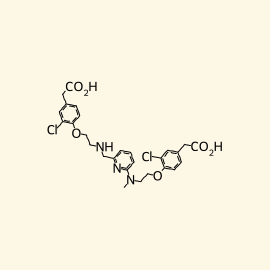 CN(CCOc1ccc(CC(=O)O)cc1Cl)c1cccc(CNCCOc2ccc(CC(=O)O)cc2Cl)n1